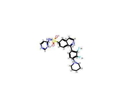 O=S(=O)(Nc1ccncn1)c1ccc2c(-c3ccc(N4CCCCC4)c(F)c3F)nccc2c1